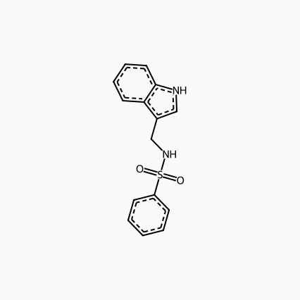 O=S(=O)(NCc1c[nH]c2ccccc12)c1ccccc1